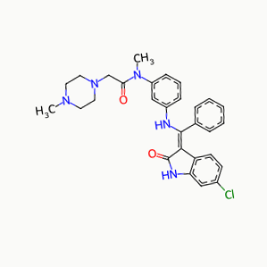 CN1CCN(CC(=O)N(C)c2cccc(N/C(=C3\C(=O)Nc4cc(Cl)ccc43)c3ccccc3)c2)CC1